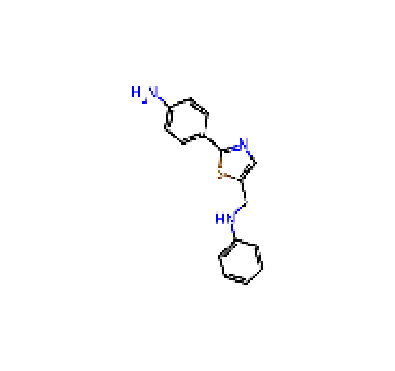 Nc1ccc(-c2ncc(CNc3ccccc3)s2)cc1